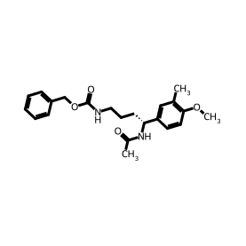 COc1ccc([C@@H](CCCNC(=O)OCc2ccccc2)NC(C)=O)cc1C